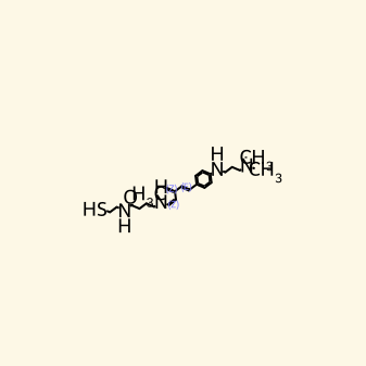 C/C=C(\C=C/NCCCC(=O)NCCS)/C=C/c1ccc(NCCCN(C)C)cc1